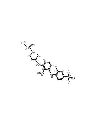 CCS(=O)(=O)c1ccc(Nc2ncnc(OC3CCN(C(=O)OC(C)C)CC3)c2OC)c(C)n1